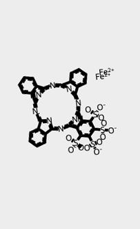 O=S(=O)([O-])c1c(S(=O)(=O)[O-])c(S(=O)(=O)[O-])c2c3nc4nc(nc5[nH]c(nc6nc(nc([nH]3)c2c1S(=O)(=O)[O-])-c1ccccc1-6)c1ccccc51)-c1ccccc1-4.[Fe+2].[Fe+2]